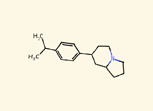 CC(C)c1ccc(C2CCN3CCCC3C2)cc1